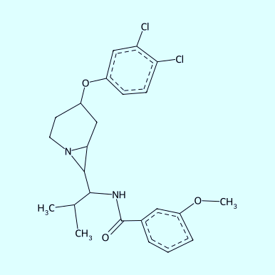 COc1cccc(C(=O)NC(C(C)C)C2C3CC(Oc4ccc(Cl)c(Cl)c4)CCN32)c1